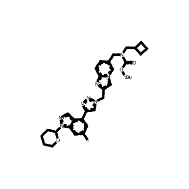 CC(C)(C)OC(=O)N(Cc1ccc2nc(Cn3cc(-c4cc(I)cc5c4cnn5C4CCCCO4)nn3)cn2c1)CC1CCC1